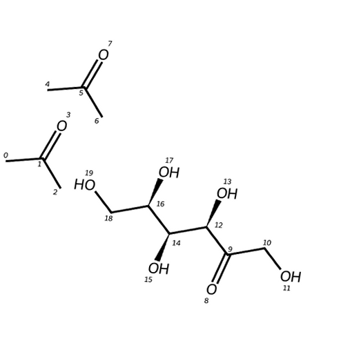 CC(C)=O.CC(C)=O.O=C(CO)[C@H](O)[C@@H](O)[C@H](O)CO